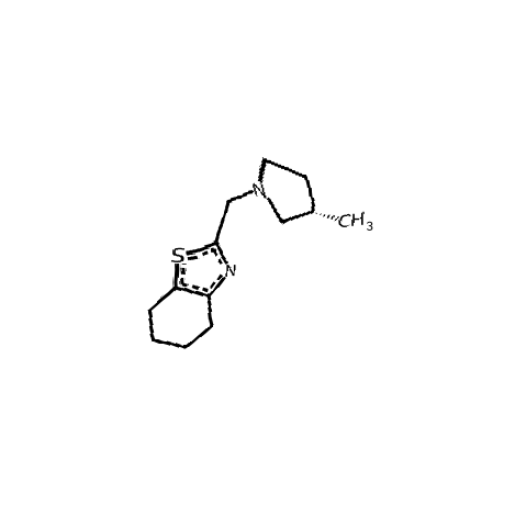 C[C@H]1CCN(Cc2nc3c(s2)CCCC3)C1